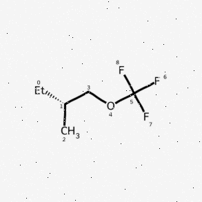 CC[C@@H](C)COC(F)(F)F